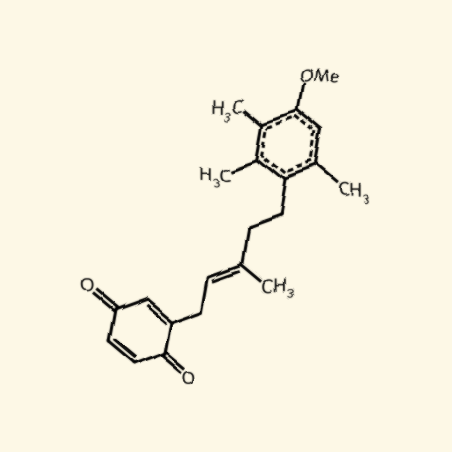 COc1cc(C)c(CC/C(C)=C/CC2=CC(=O)C=CC2=O)c(C)c1C